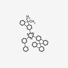 CC1(C)c2ccccc2-c2cc(-c3nc(-c4cccc(-c5ccccc5)c4)nc(-c4ccc5c(c4)C4(c6ccccc6-c6ccccc64)c4ccccc4-5)n3)ccc21